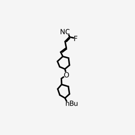 CCCCC1CCC(COC2CCC(C=CC=C(F)C#N)CC2)CC1